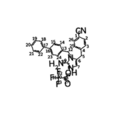 N#Cc1ccc(Cc2cnc(N)n2Cc2ccc(-c3ccccc3)cc2)cc1.O=C(O)C(F)(F)F